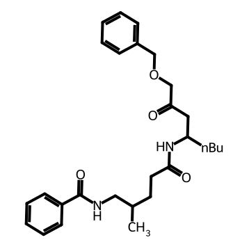 CCCCC(CC(=O)COCc1ccccc1)NC(=O)CCC(C)CNC(=O)c1ccccc1